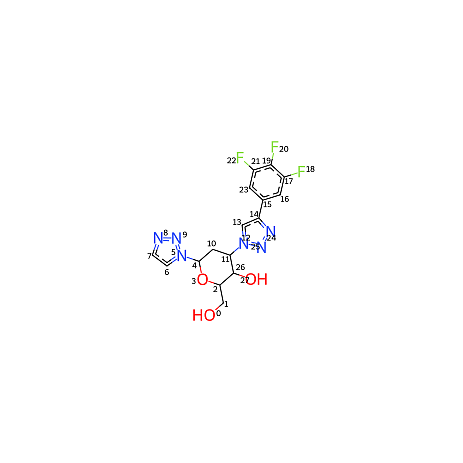 OCC1OC(n2ccnn2)CC(n2cc(-c3cc(F)c(F)c(F)c3)nn2)C1O